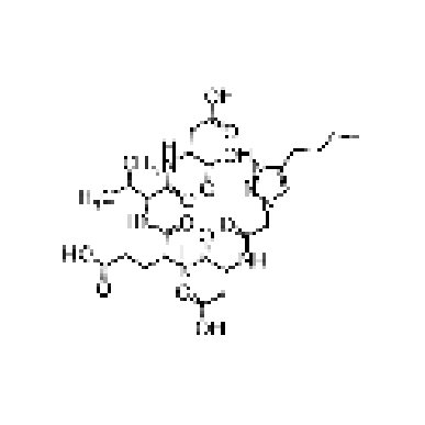 CC(C)[C@H](NC(=O)[C@H](CCC(=O)O)NC(=O)[C@H](CC(=O)O)NC(=O)Cn1cc(CCCF)nn1)C(=O)NC(CC(=O)O)C(=O)O